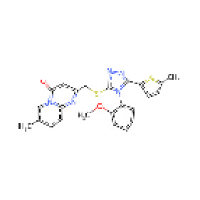 COc1ccccc1-n1c(SCc2cc(=O)n3cc(C)ccc3n2)nnc1-c1ccc(C)s1